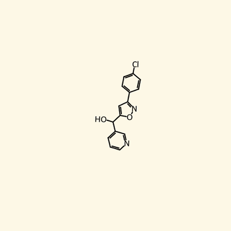 OC(c1cccnc1)c1cc(-c2ccc(Cl)cc2)no1